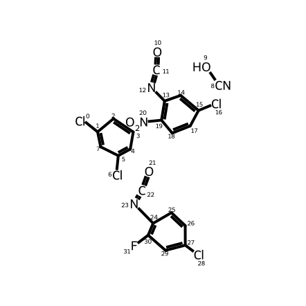 Clc1cccc(Cl)c1.N#CO.O=C=Nc1cc(Cl)ccc1[N+](=O)[O-].O=C=Nc1ccc(Cl)cc1F